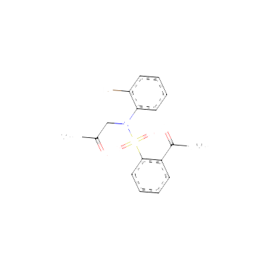 COC(=O)CN(c1ccccc1Br)S(=O)(=O)c1ccccc1C(=O)OC